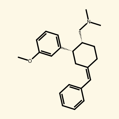 COc1cccc([C@H]2C/C(=C\c3ccccc3)CC[C@H]2CN(C)C)c1